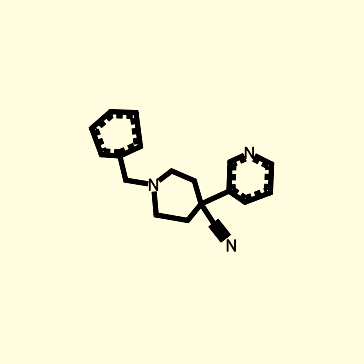 N#CC1(c2cccnc2)CCN(Cc2ccccc2)CC1